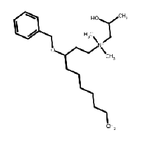 CCCCCCCC(CC[N+](C)(C)CC(C)O)OCc1ccccc1